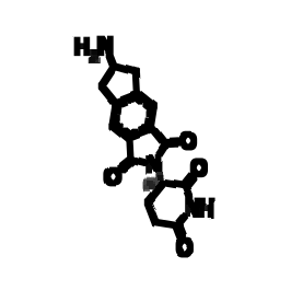 NC1Cc2cc3c(cc2C1)C(=O)N([C@H]1CCC(=O)NC1=O)C3=O